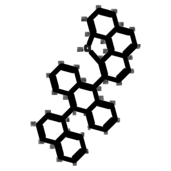 c1ccc2c(-c3c4ccccc4c(-c4ccc5ccc6cccc7oc4c5c67)c4ccccc34)cccc2c1